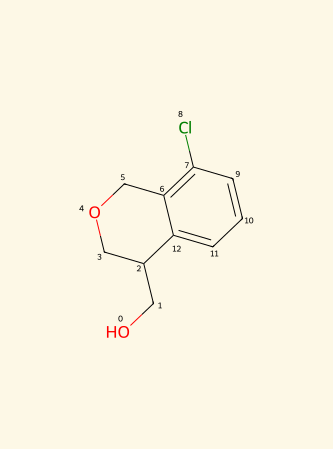 OCC1COCc2c(Cl)cccc21